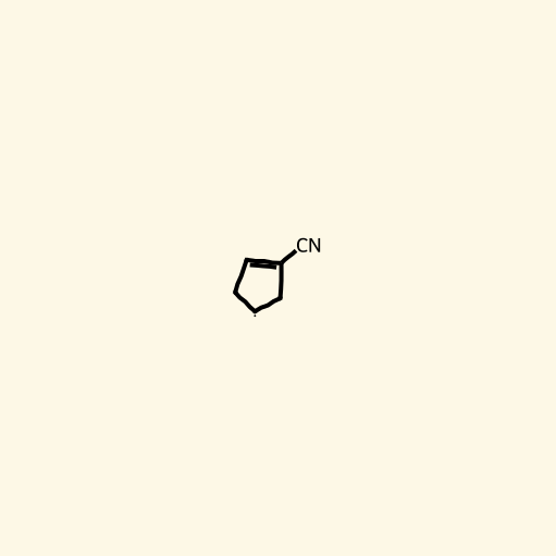 N#CC1=CC[CH]C1